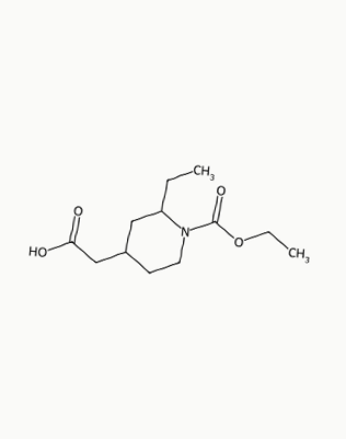 CCOC(=O)N1CCC(CC(=O)O)CC1CC